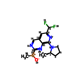 C[C@@H]1CCCN1c1nc(C(F)F)cc2cnc([S+](C)[O-])nc12